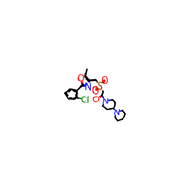 Cc1oc(-c2ccccc2Cl)nc1CS(=O)(=O)CC(=O)N1CCC(N2CCCCC2)CC1